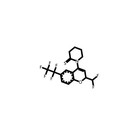 FC(F)C1C=C(N2CCCCC2=S)c2cc(C(F)(F)C(F)(F)F)ccc2O1